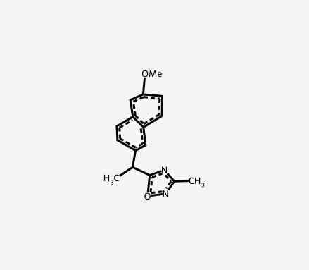 COc1ccc2cc(C(C)c3nc(C)no3)ccc2c1